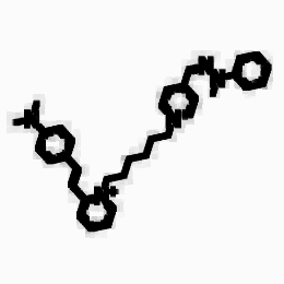 CN(C)c1ccc(/C=C/c2cccc[n+]2CCCCCC[n+]2ccc(/C=N\N(C)c3ccccc3)cc2)cc1